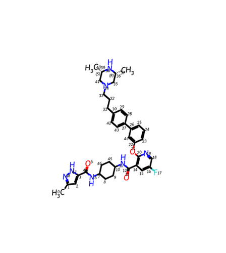 Cc1cc(C(=O)NC2CCC(NC(=O)c3cc(F)cnc3Oc3cccc(-c4ccc(CCCN5C[C@@H](C)N[C@@H](C)C5)cc4)c3)CC2)[nH]n1